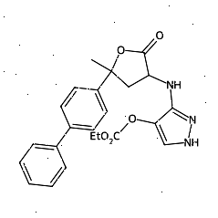 CCOC(=O)Oc1c[nH]nc1NC1CC(C)(c2ccc(-c3ccccc3)cc2)OC1=O